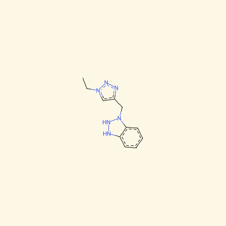 CCn1cc(CN2NNc3ccccc32)nn1